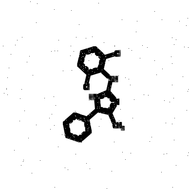 Cc1nc(Nc2c(Cl)cccc2Cl)[nH]c1-c1ccccc1